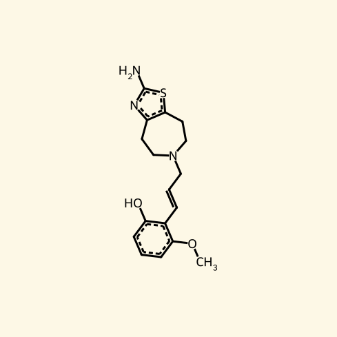 COc1cccc(O)c1/C=C/CN1CCc2nc(N)sc2CC1